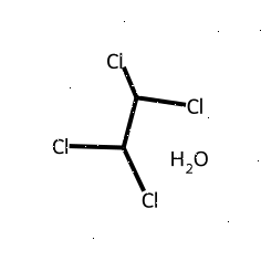 ClC(Cl)C(Cl)Cl.O